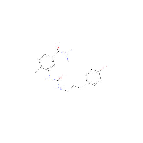 Cc1ccc(C(=O)N(C)C)cc1NC(=O)N[C@@H](C)CCc1ccc(O)cc1